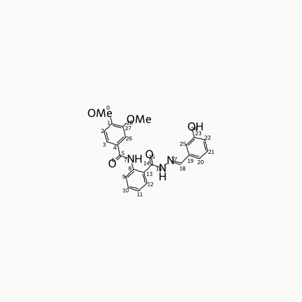 COc1ccc(C(=O)Nc2ccccc2C(=O)NN=Cc2cccc(O)c2)cc1OC